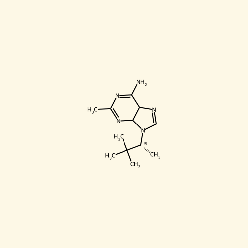 CC1=NC2C(N=CN2[C@H](C)C(C)(C)C)C(N)=N1